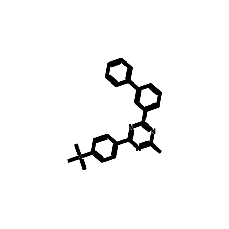 Cc1nc(-c2ccc(S(C)(C)C)cc2)nc(-c2cccc(-c3ccccc3)c2)n1